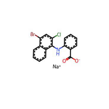 O=C([O-])c1ccccc1Nc1c(Cl)cc(Br)c2ccccc12.[Na+]